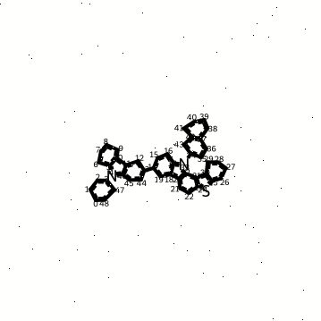 c1ccc(-n2c3ccccc3c3cc(-c4ccc5c(c4)c4ccc6sc7ccccc7c6c4n5-c4ccc5ccccc5c4)ccc32)cc1